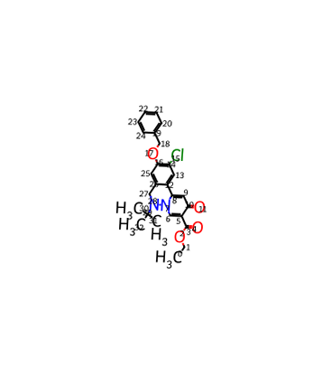 CCOC(=O)c1cn2c(cc1=O)-c1cc(Cl)c(OCc3ccccc3)cc1CN2C(C)(C)C